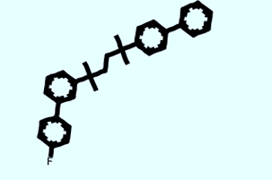 CC(C)(CCC(C)(C)c1cccc(-c2ccc(F)cc2)c1)c1ccc(-c2ccccc2)cc1